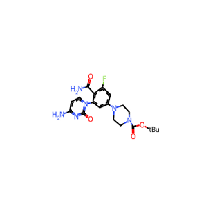 CC(C)(C)OC(=O)N1CCN(c2cc(F)c(C(N)=O)c(-n3ccc(N)nc3=O)c2)CC1